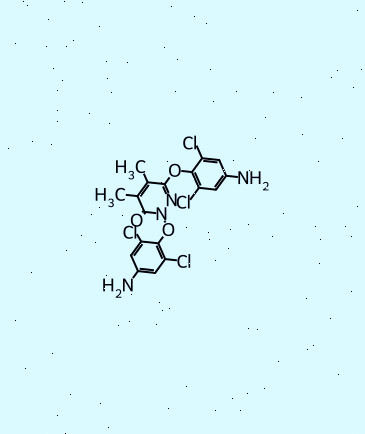 Cc1c(Oc2c(Cl)cc(N)cc2Cl)nn(Oc2c(Cl)cc(N)cc2Cl)c(=O)c1C